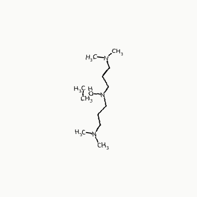 CC.CN(C)CCCN(O)CCCN(C)C